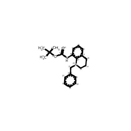 CC(C)(C)OC(=O)Nc1cccc2c1N(Cc1ccccc1)CCC2